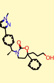 C[C@@H](c1ccc(-c2ccn(C)n2)cc1)N1CCC(CCCO)(c2ccccc2)OC1=O